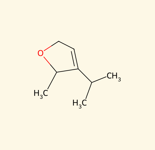 CC(C)C1=CCOC1C